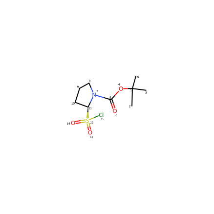 CC(C)(C)OC(=O)N1CCC[C@@H]1S(=O)(=O)Cl